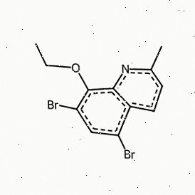 CCOc1c(Br)cc(Br)c2ccc(C)nc12